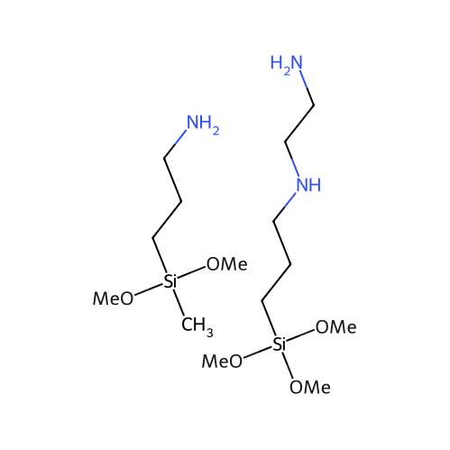 CO[Si](C)(CCCN)OC.CO[Si](CCCNCCN)(OC)OC